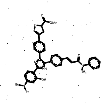 CCN(CC)c1ccc(-c2nc(-c3ccc(C4=NOC(C(=O)OC)C4)cc3)c(-c3ccc(C=CC(=O)N(N)c4ccccc4)cc3)[nH]2)c(O)c1